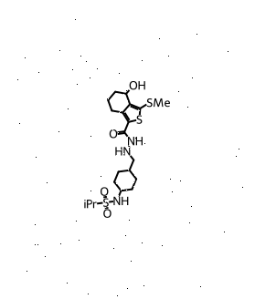 CSc1sc(C(=O)NNCC2CCC(NS(=O)(=O)C(C)C)CC2)c2c1C(O)CCC2